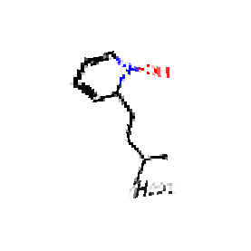 CCCCCCCC(C)CCC1C=CC=CN1O